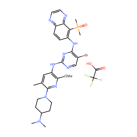 COc1nc(N2CCC(N(C)C)CC2)c(C)cc1Nc1ncc(Br)c(Nc2ccc3nccnc3c2P(C)(C)=O)n1.O=C(O)C(F)(F)F